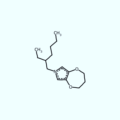 CCCCC(CC)Cn1cc2c(c1)OCCCO2